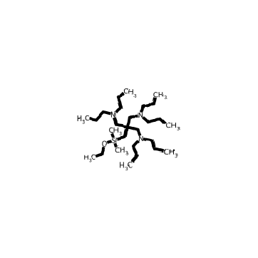 CCCN(CCC)CC(CN(CCC)CCC)(CN(CCC)CCC)C[Si](C)(C)OCC